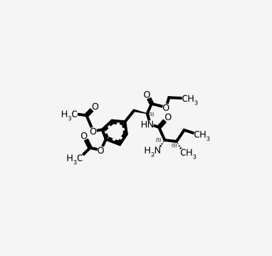 CCOC(=O)[C@H](Cc1ccc(OC(C)=O)c(OC(C)=O)c1)NC(=O)[C@@H](N)[C@@H](C)CC